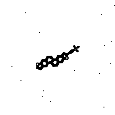 C[Si](C)(C)C#Cc1cc2cc3c(ccc4c5cc6ccoc6cc5ccc34)cc2o1